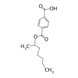 CCCCCC(C)OC(=O)c1ccc(C(=O)O)cc1